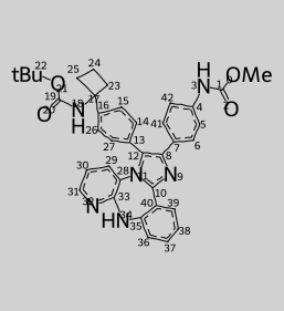 COC(=O)Nc1ccc(-c2nc3n(c2-c2ccc(C4(NC(=O)OC(C)(C)C)CCC4)cc2)-c2cccnc2Nc2ccccc2-3)cc1